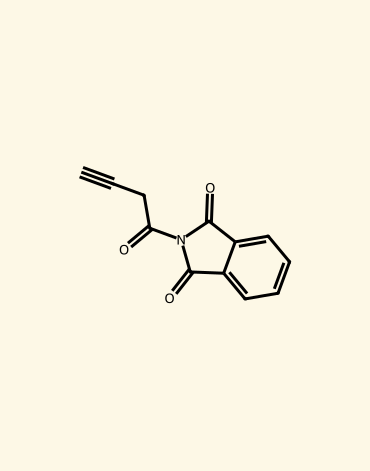 C#CCC(=O)N1C(=O)c2ccccc2C1=O